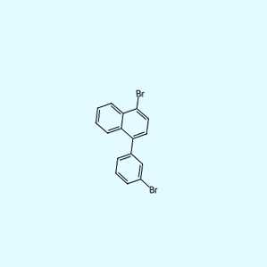 Brc1cccc(-c2ccc(Br)c3ccccc23)c1